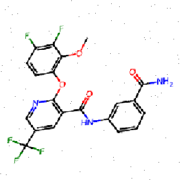 COc1c(Oc2ncc(C(F)(F)F)cc2C(=O)Nc2cccc(C(N)=O)c2)ccc(F)c1F